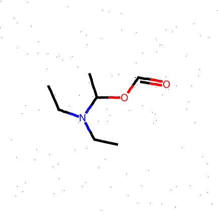 CCN(CC)C(C)O[C]=O